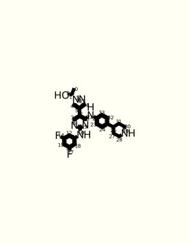 CC(O)n1cc(-c2cnc(Nc3cc(F)cc(F)c3)nc2Nc2ccc(C3CCNCC3)cc2)cn1